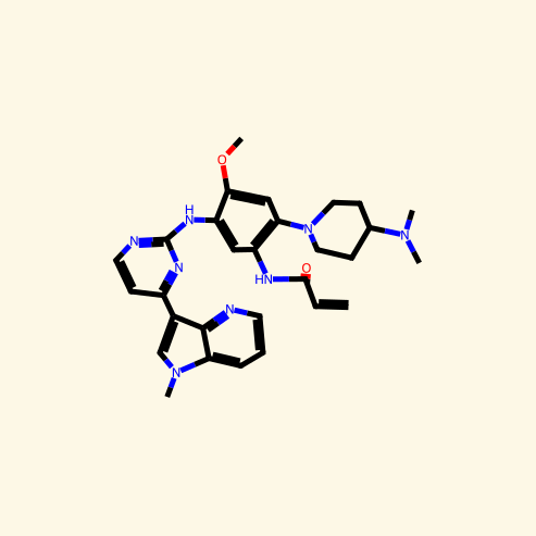 C=CC(=O)Nc1cc(Nc2nccc(-c3cn(C)c4cccnc34)n2)c(OC)cc1N1CCC(N(C)C)CC1